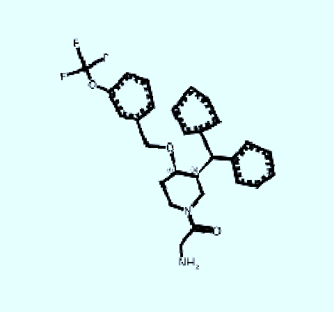 NCC(=O)N1CC[C@@H](OCc2cccc(OC(F)(F)F)c2)[C@@H](C(c2ccccc2)c2ccccc2)C1